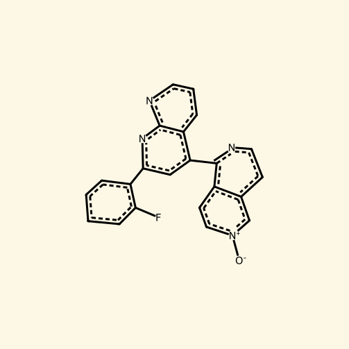 [O-][n+]1ccc2c(-c3cc(-c4ccccc4F)nc4ncccc34)nccc2c1